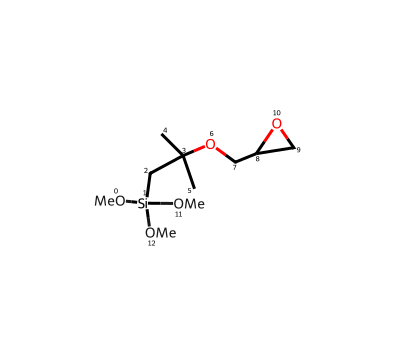 CO[Si](CC(C)(C)OCC1CO1)(OC)OC